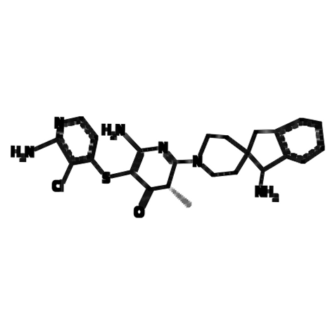 C[C@@H]1C(=O)C(Sc2ccnc(N)c2Cl)=C(N)N=C1N1CCC2(CC1)Cc1ccccc1C2N